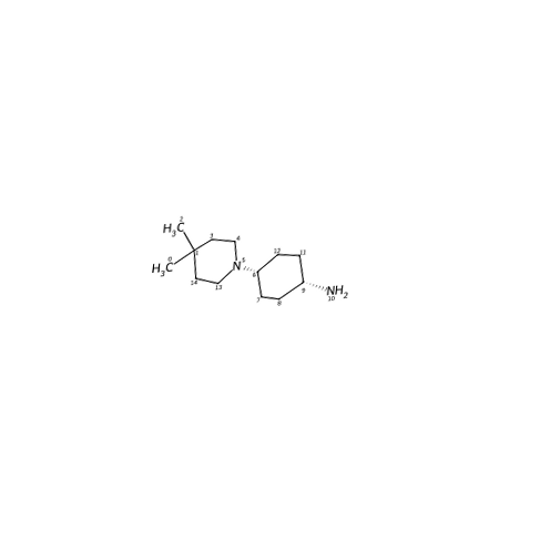 CC1(C)CCN([C@H]2CC[C@@H](N)CC2)CC1